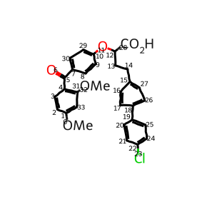 COc1ccc(C(=O)c2ccc(OC(CCc3ccc(-c4ccc(Cl)cc4)cc3)C(=O)O)cc2)c(OC)c1